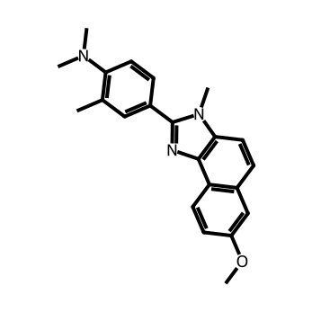 COc1ccc2c(ccc3c2nc(-c2ccc(N(C)C)c(C)c2)n3C)c1